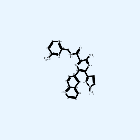 Cn1ccc(-c2nc(N)c(C(=O)NCc3nccc(C(F)(F)F)n3)nc2-c2ccc3ncccc3c2)n1